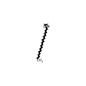 CCCCCCCCCCCCCCCCCCCCCC1=NCCO1